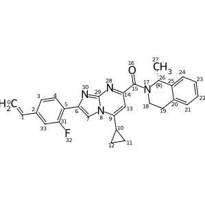 C=Cc1ccc(-c2cn3c(C4CC4)cc(C(=O)N4CCc5ccccc5[C@H]4C)nc3n2)c(F)c1